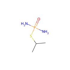 CC(C)SP(N)(N)=O